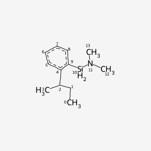 CCC(C)c1ccccc1[SiH2]N(C)C